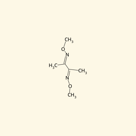 CO/N=C(C)/C(C)=N/OC